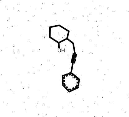 OC1CCCCC1CC#Cc1ccccc1